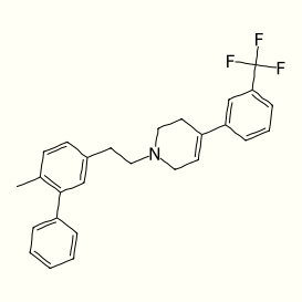 Cc1ccc(CCN2CC=C(c3cccc(C(F)(F)F)c3)CC2)cc1-c1ccccc1